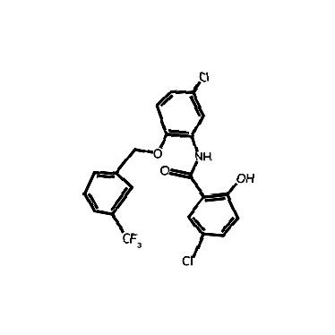 O=C(Nc1cc(Cl)ccc1OCc1cccc(C(F)(F)F)c1)c1cc(Cl)ccc1O